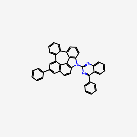 c1ccc(-c2cc3c4c(ccc5c4c4c(cccc4n5-c4nc(-c5ccccc5)c5ccccc5n4)-c4ccccc4-3)c2)cc1